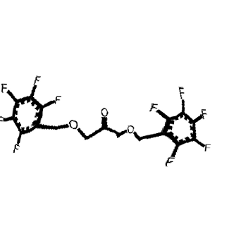 O=C(COCc1c(F)c(F)c(F)c(F)c1F)COCc1c(F)c(F)c(F)c(F)c1F